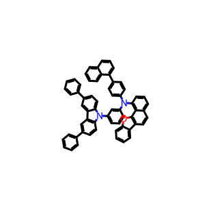 c1ccc(-c2ccc3c(c2)c2cc(-c4ccccc4)ccc2n3-c2cccc(N(c3ccc(-c4cccc5ccccc45)cc3)c3cccc4ccc5c6ccccc6oc5c34)c2)cc1